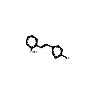 O=Cc1ccccc1C=Cc1ccc(Cl)cc1